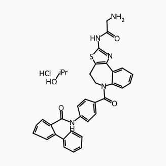 CC(C)O.Cl.NCC(=O)Nc1nc2c(s1)CCN(C(=O)c1ccc(NC(=O)c3ccccc3-c3ccccc3)cc1)c1ccccc1-2